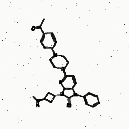 CN[C@H]1C[C@H](n2c(=O)n(-c3ccccc3)c3ccc(N4CCN(c5ccc(C(C)=O)cc5)CC4)nc32)C1